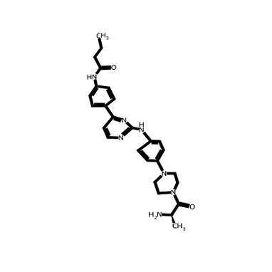 CCCC(=O)Nc1ccc(-c2ccnc(Nc3ccc(N4CCN(C(=O)[C@@H](C)N)CC4)cc3)n2)cc1